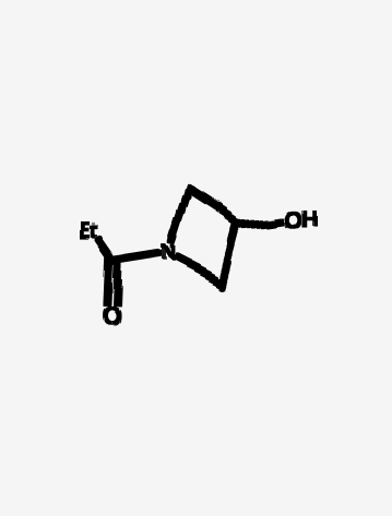 CCC(=O)N1CC(O)C1